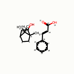 CC1(C)C2CCC1(C)C(O)C2.O=C(O)C=Cc1ccccc1